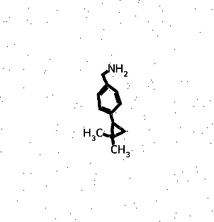 CC1(C)[CH]C1c1ccc(CN)cc1